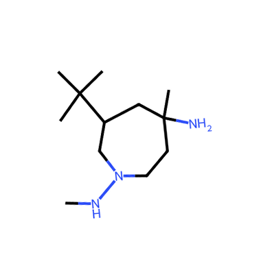 CNN1CCC(C)(N)CC(C(C)(C)C)C1